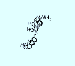 Nc1ncnc2c1ccn2[C@@H]1C[C@H](CCc2ccc3cc4c(nc3c2)NOCC4)[C@@H](O)[C@H]1O